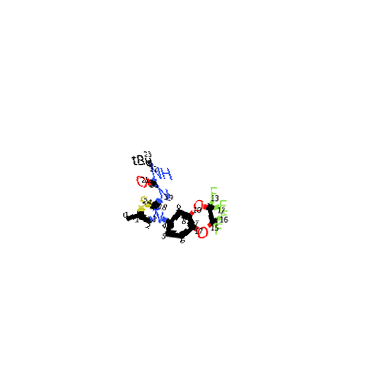 Cc1cn(-c2ccc3c(c2)OC(F)(F)C(F)(F)O3)c(=NC(=O)NC(C)(C)C)s1